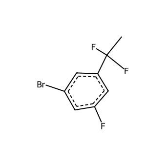 CC(F)(F)c1cc(F)cc(Br)c1